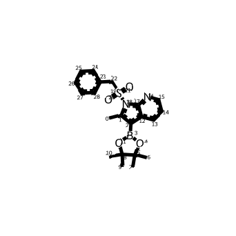 Cc1c(B2OC(C)(C)C(C)(C)O2)c2cccnc2n1S(=O)(=O)Cc1ccccc1